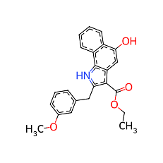 CCOC(=O)c1c(Cc2cccc(OC)c2)[nH]c2c1cc(O)c1ccccc12